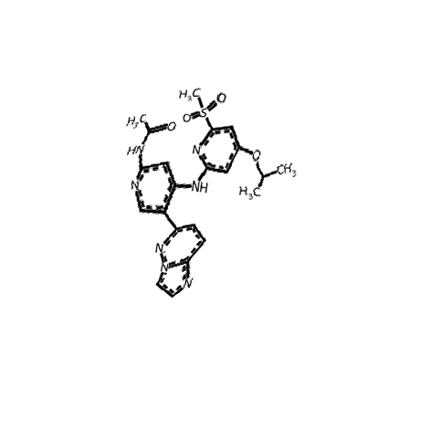 CC(=O)Nc1cc(Nc2cc(OC(C)C)cc(S(C)(=O)=O)n2)c(-c2ccc3nccn3n2)cn1